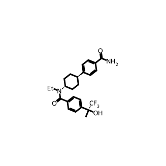 CCN(C(=O)c1ccc([C@](C)(O)C(F)(F)F)cc1)[C@H]1CC[C@H](c2ccc(C(N)=O)cc2)CC1